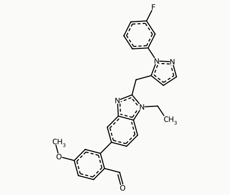 CCn1c(Cc2ccnn2-c2cccc(F)c2)nc2cc(-c3cc(OC)ccc3C=O)ccc21